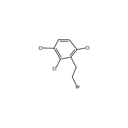 Clc1ccc(Cl)c(CCBr)c1Cl